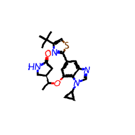 CC(Oc1cc(-c2nc(C(C)(C)C)cs2)cc2ncn(C3CC3)c12)[C@H]1CNC(=O)C1